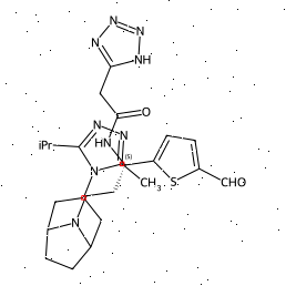 Cc1nnc(C(C)C)n1C1CC2CCC(C1)N2CC[C@H](NC(=O)Cc1nnn[nH]1)c1ccc(C=O)s1